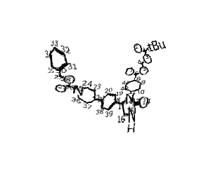 CC(C)(C)C(=O)OCOC(=O)[C@H]1CC[C@H](N2C(=O)NCC2c2ccc(C3CCN(C(=O)OCc4ccccc4)CC3)cc2)CC1